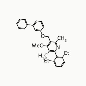 CCc1cccc(CC)c1-c1nc(C)c(COc2cccc(-c3ccccc3)c2)c(OC)c1C